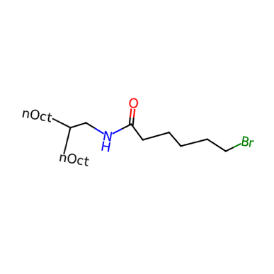 CCCCCCCCC(CCCCCCCC)CNC(=O)CCCCCBr